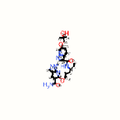 CC[C@@H](CC[C@H](C)Oc1nc2c(cnn2C)cc1C(N)=O)NC(=O)c1cnn2cc(OCC(C)(C)O)ccc12